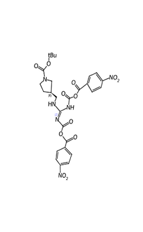 CC(C)(C)OC(=O)N1CC[C@H](CN/C(=N/C(=O)OC(=O)c2ccc([N+](=O)[O-])cc2)NC(=O)OC(=O)c2ccc([N+](=O)[O-])cc2)C1